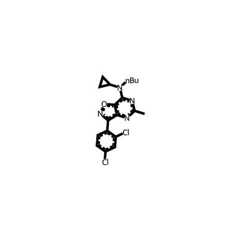 CCCCN(c1nc(C)nc2c(-c3ccc(Cl)cc3Cl)noc12)C1CC1